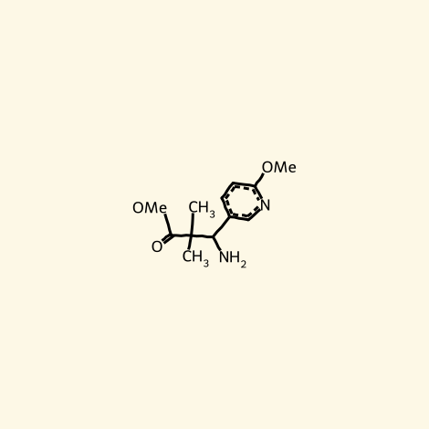 COC(=O)C(C)(C)C(N)c1ccc(OC)nc1